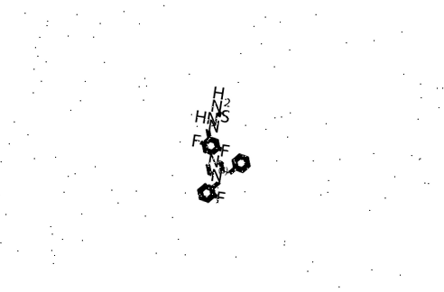 NC(=S)NN=Cc1cc(F)c(N2CCN(Cc3ccccc3F)[C@@H](Cc3ccccc3)C2)cc1F